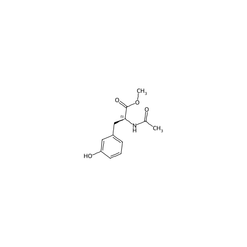 COC(=O)[C@H](Cc1cccc(O)c1)NC(C)=O